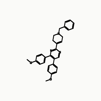 COc1ccc(-c2cnc(C3=CCN(Cc4ccccc4)CC3)nc2-c2ccc(OC)cc2)cc1